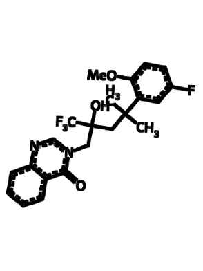 COc1ccc(F)cc1C(C)(C)CC(O)(Cn1cnc2ccccc2c1=O)C(F)(F)F